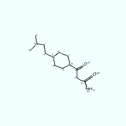 CN(C)CCN1CCN(C(=O)CC(N)=O)CC1